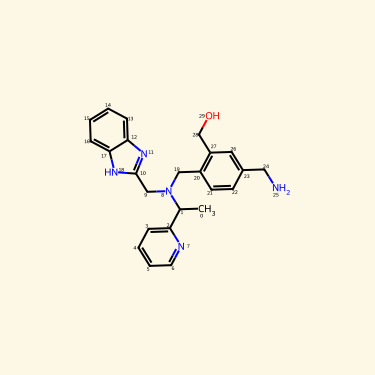 CC(c1ccccn1)N(Cc1nc2ccccc2[nH]1)Cc1ccc(CN)cc1CO